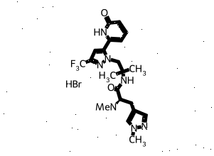 Br.CN[C@H](Cc1cnn(C)c1)C(=O)NC(C)(C)Cn1nc(C(F)(F)F)cc1-c1cccc(=O)[nH]1